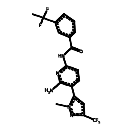 Cn1nc(C(F)(F)F)cc1-c1ccc(NC(=O)c2cccc(C(C)(F)F)c2)nc1N